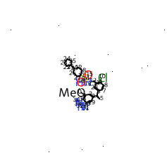 COc1cc(C(C)c2ccc(Cl)c(CNS(=O)(=O)C3CCC(C4CCCC4)CC3)c2)cc2nnn(C)c12